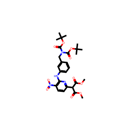 COC(=O)C(C(=O)OC)c1ccc([N+](=O)[O-])c(Nc2cccc(CN(C(=O)OC(C)(C)C)C(=O)OC(C)(C)C)c2)n1